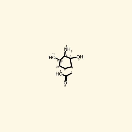 CC(=O)O.NC1C(O)CCC[C@H]1O